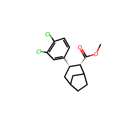 COC(=O)[C@@H]1C2CCC(C2)C[C@@H]1c1ccc(Cl)c(Cl)c1